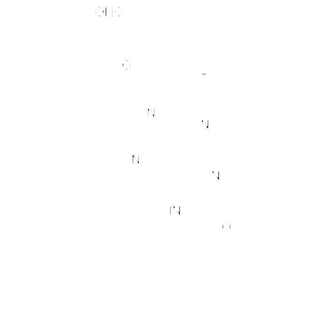 CC1C(C=O)OC(n2cnc3c(NC(=O)c4ccccc4)ncnc32)C1F